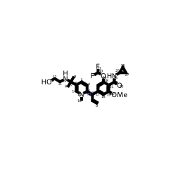 C=C/C(=C1/C=CC(C(C)(C)NCCO)=CN1C)c1cc(OC)c(C(=O)NC2CC2)c(OC(F)F)c1